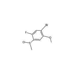 COc1cc([S+](C)[O-])c(F)cc1Br